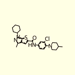 Cc1nn(C2CCCCC2)c2sc(C(=O)Nc3ccc(N4CCC(C)CC4)c(Cl)c3)cc12